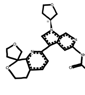 NC(=O)Nc1cc2c(-c3ccc4c(n3)C3(CCOC3)OCC4)cn([C@H]3CCOC3)c2cn1